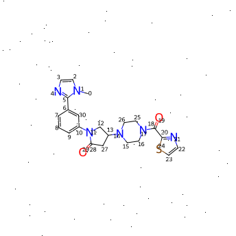 Cn1ccnc1-c1cccc(N2CC(N3CCN(C(=O)c4nccs4)CC3)CC2=O)c1